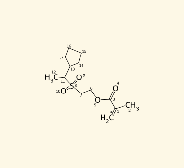 C=C(C)C(=O)OCCS(=O)(=O)C(C)C1CCCC1